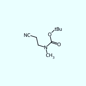 CN(CCC#N)C(=O)OC(C)(C)C